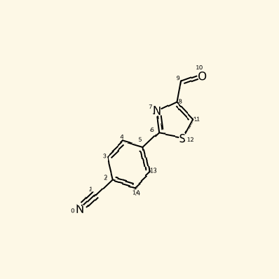 N#Cc1ccc(-c2nc(C=O)cs2)cc1